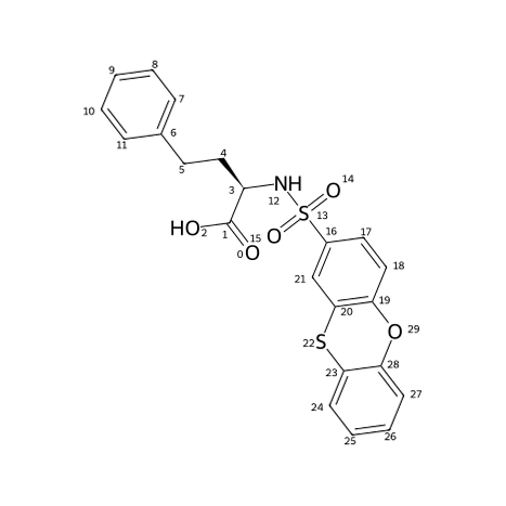 O=C(O)[C@@H](CCc1ccccc1)NS(=O)(=O)c1ccc2c(c1)Sc1ccccc1O2